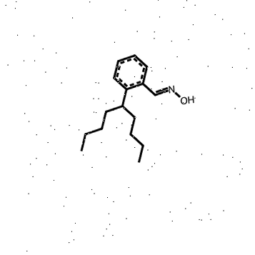 CCCCC(CCCC)c1ccccc1C=NO